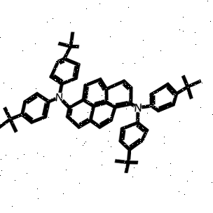 CC(C)(C)c1ccc(N(c2ccc(C(C)(C)C)cc2)c2ccc3ccc4c(N(c5ccc(C(C)(C)C)cc5)c5ccc(C(C)(C)C)cc5)ccc5ccc2c3c54)cc1